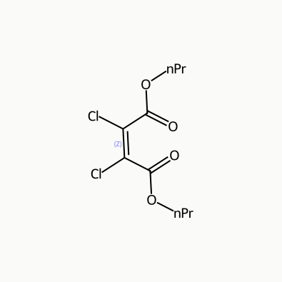 CCCOC(=O)/C(Cl)=C(/Cl)C(=O)OCCC